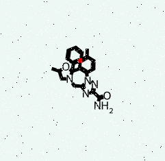 Cc1ccc2c(c1)C1(c3ccccc3)OC(C)CN1Cc1nc(C(N)=O)nn1-2